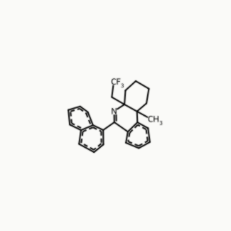 CC12CCCCC1(CC(F)(F)F)N=C(c1cccc3ccccc13)c1ccccc12